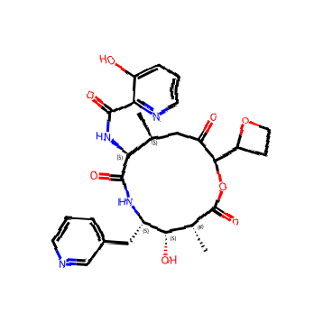 C[C@H]1CC(=O)C(C2CCO2)OC(=O)[C@H](C)[C@H](O)[C@H](Cc2cccnc2)NC(=O)[C@H]1NC(=O)c1ncccc1O